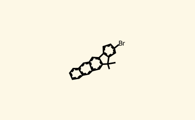 CC1(C)c2cc(Br)ccc2-c2cc3cc4ccccc4cc3cc21